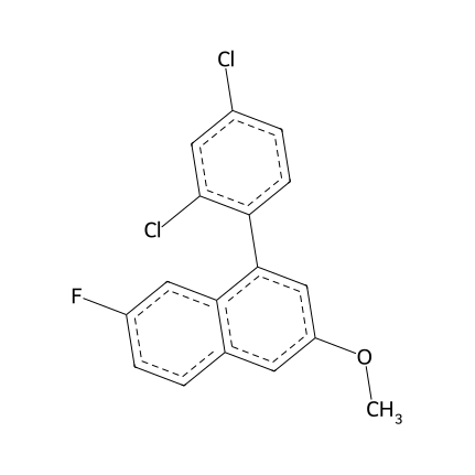 COc1cc(-c2ccc(Cl)cc2Cl)c2cc(F)ccc2c1